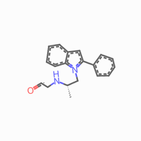 C[C@@H](Cn1c(-c2ccccc2)cc2ccccc21)NC[C]=O